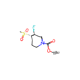 CC(C)(C)OC(=O)N1CC[C@H](S(C)(=O)=O)[C@@H](F)C1